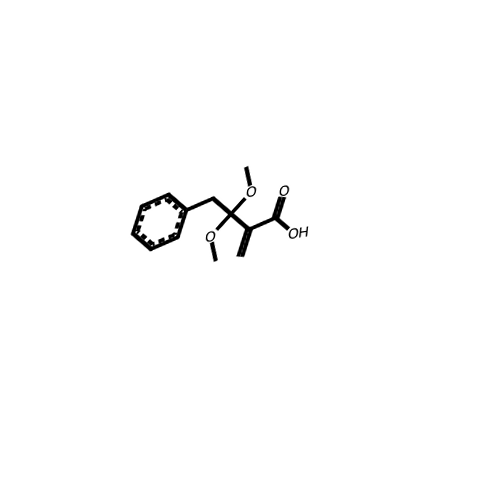 C=C(C(=O)O)C(Cc1ccccc1)(OC)OC